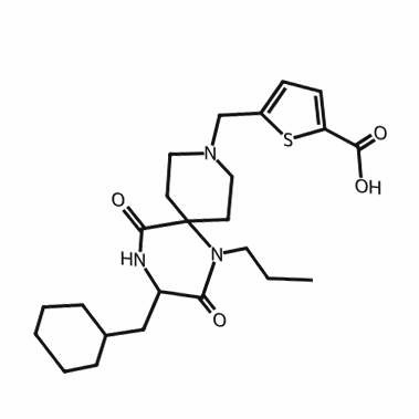 CCCN1C(=O)C(CC2CCCCC2)NC(=O)C12CCN(Cc1ccc(C(=O)O)s1)CC2